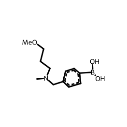 COCCCN(C)Cc1ccc(B(O)O)cc1